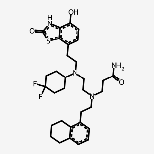 NC(=O)CCN(CCc1cccc2c1CCCC2)CCN(CCc1ccc(O)c2[nH]c(=O)sc12)C1CCC(F)(F)CC1